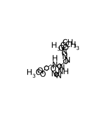 COC(=O)c1ccc(CC(=O)Nc2cc(Nc3cnccn3)nc(-c3ccnc(N4CCN(C(=O)OC(C)(C)C)CC4)c3)c2)cc1